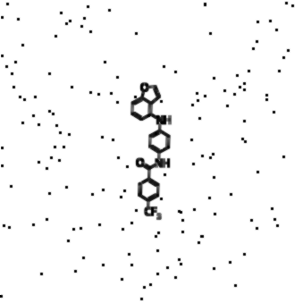 O=C(Nc1ccc(Nc2cccc3occc23)cc1)c1ccc(C(F)(F)F)cc1